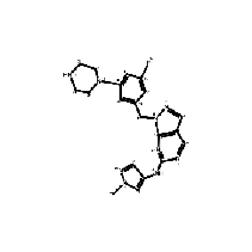 Cn1cc(Nc2ncc3cnn(Cc4cc(F)cc(N5CCNCC5)c4)c3n2)cn1